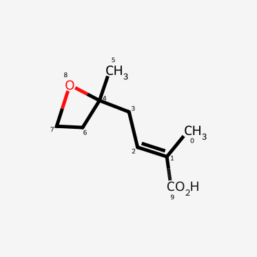 CC(=CCC1(C)CCO1)C(=O)O